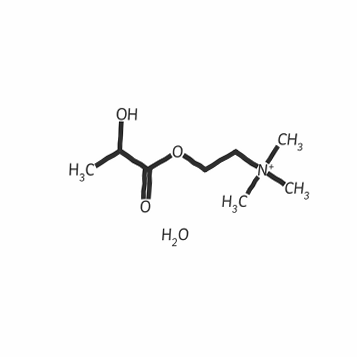 CC(O)C(=O)OCC[N+](C)(C)C.O